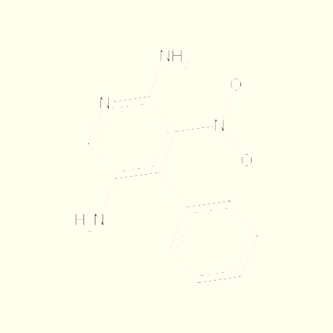 Nc1cnc(N)c([N+](=O)[O-])c1-c1ccccc1